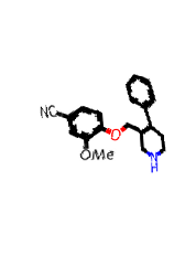 COc1cc(C#N)ccc1OCC1CNCCC1c1ccccc1